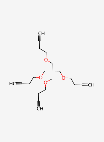 C#CCCOCC(COCCC#C)(COCCC#C)COCCC#C